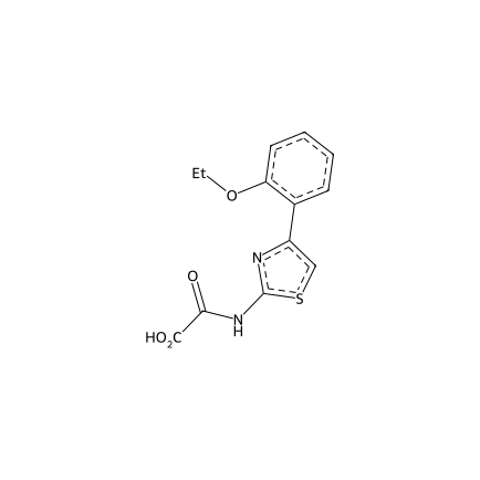 CCOc1ccccc1-c1csc(NC(=O)C(=O)O)n1